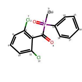 CCC(C)P(=O)(C(=O)c1c(Cl)cccc1Cl)c1ccccc1